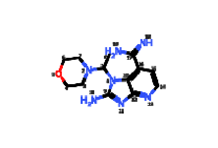 CC(N1CCOCC1)n1c(N)nc2nccc(C(=N)N)c21